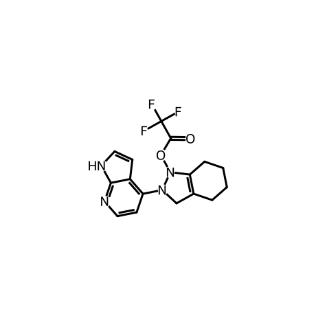 O=C(ON1C2=C(CCCC2)CN1c1ccnc2[nH]ccc12)C(F)(F)F